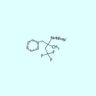 CC(Cc1ccccc1)(CC(F)(F)F)N=[N+]=[N-]